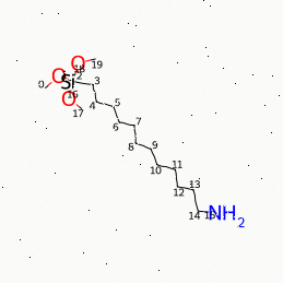 CO[Si](CCCCCCCCCCCCN)(OC)OC